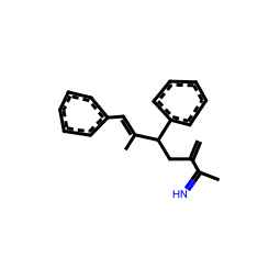 C=C(CC(/C(C)=C/c1ccccc1)c1ccccc1)C(C)=N